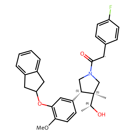 COc1ccc([C@@H]2CN(C(=O)[CH]c3ccc(F)cc3)C[C@@]2(C)[C@@H](C)O)cc1OC1Cc2ccccc2C1